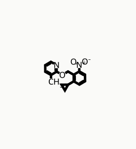 Cc1cccnc1OCc1c(C2CC2)cccc1[N+](=O)[O-]